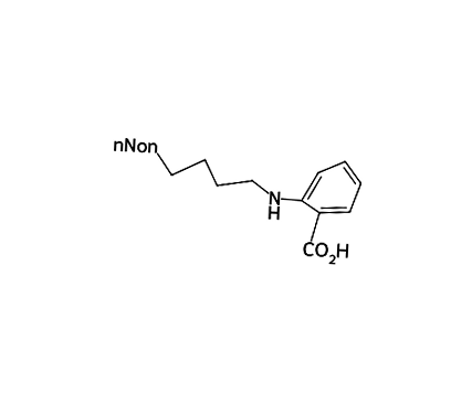 CCCCCCCCCCCCCNc1ccccc1C(=O)O